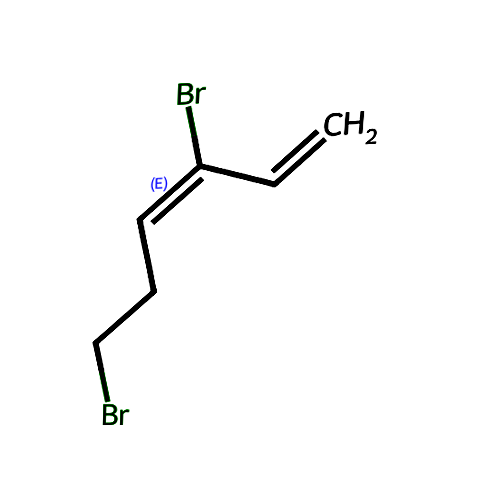 C=C/C(Br)=C\CCBr